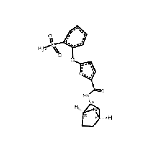 NS(=O)(=O)c1ccccc1Oc1ccc(C(=O)N[C@@H]2C[C@H]3CC[C@@H]2N3)s1